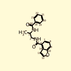 CC(CNC(=O)c1cccc2occc12)NC(=O)c1ccccc1